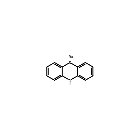 [Ru].c1ccc2c(c1)Nc1ccccc1S2